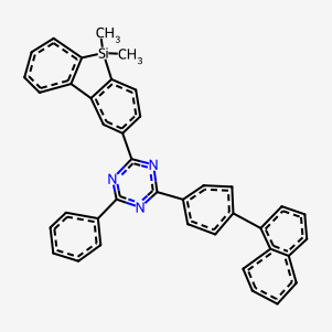 C[Si]1(C)c2ccccc2-c2cc(-c3nc(-c4ccccc4)nc(-c4ccc(-c5cccc6ccccc56)cc4)n3)ccc21